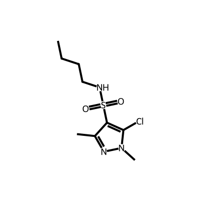 CCCCNS(=O)(=O)c1c(C)nn(C)c1Cl